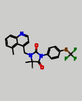 Cc1cccc2nccc(CN3C(=O)N(c4ccc(SC(F)(F)F)cc4)C(=O)C3(C)C)c12